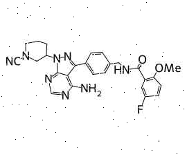 COc1ccc(F)cc1C(=O)NCc1ccc(-c2nn(C3CCCN(C#N)C3)c3ncnc(N)c23)cc1